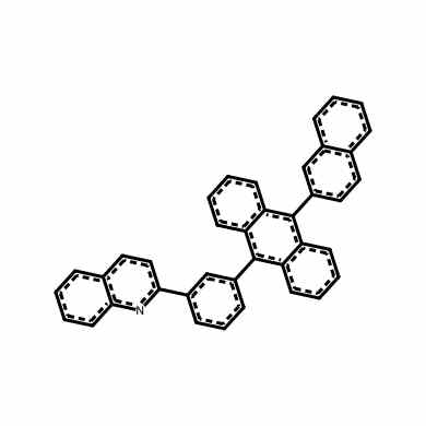 c1cc(-c2ccc3ccccc3n2)cc(-c2c3ccccc3c(-c3ccc4ccccc4c3)c3ccccc23)c1